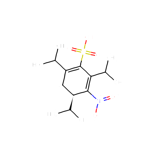 CC(C)C1=C(S(=O)(=O)O)C(C(C)C)=C([N+](=O)[O-])[C@@H](C(C)C)C1